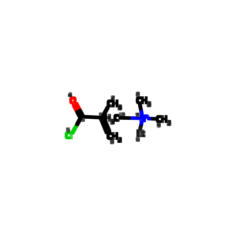 C=C(C)C(=O)Cl.CC[N+](C)(C)C